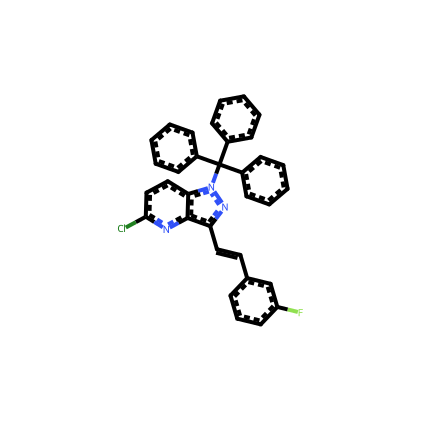 Fc1cccc(C=Cc2nn(C(c3ccccc3)(c3ccccc3)c3ccccc3)c3ccc(Cl)nc23)c1